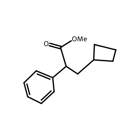 COC(=O)C(CC1CCC1)c1ccccc1